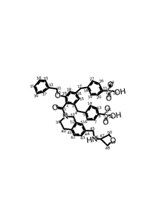 O=C(c1c(Cc2ccc(S(=O)(=O)O)cc2)cc(Cc2ccc(S(=O)(=O)O)cc2)cc1OCc1ccccc1)N1CCc2ccc(CNC3COC3)cc2C1